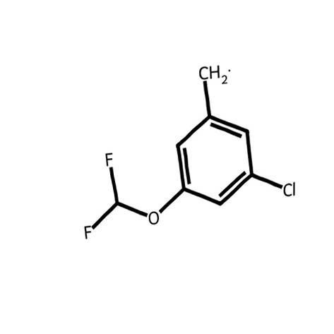 [CH2]c1cc(Cl)cc(OC(F)F)c1